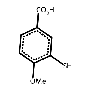 COc1ccc(C(=O)O)cc1S